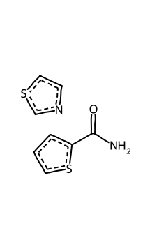 NC(=O)c1cccs1.c1cscn1